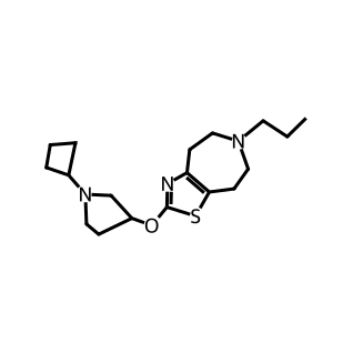 CCCN1CCc2nc(OC3CCN(C4CCC4)C3)sc2CC1